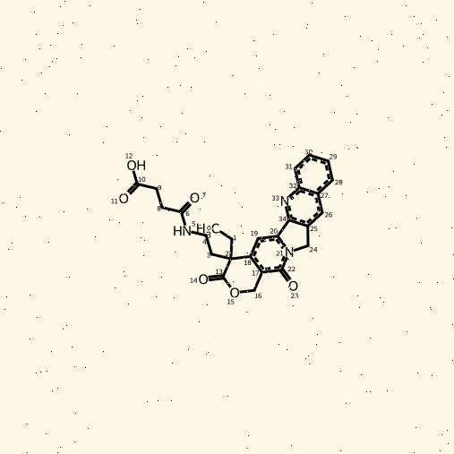 CCC1(CCNC(=O)CCC(=O)O)C(=O)OCc2c1cc1n(c2=O)Cc2cc3ccccc3nc2-1